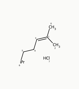 CC(C)=CCCC(C)C.Cl